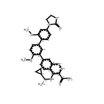 COc1cc(N2CCOC2=O)ccc1-c1ccc(OC)c(-c2ccc3c(N[C@H](C)C4CC4)c(C(N)=O)nnc3c2)c1